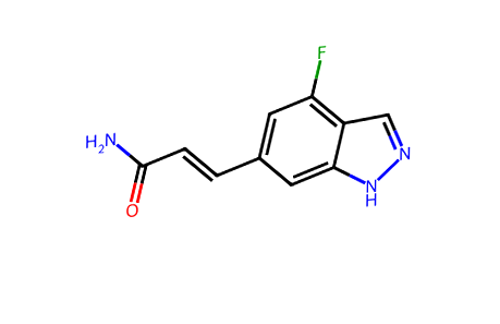 NC(=O)C=Cc1cc(F)c2cn[nH]c2c1